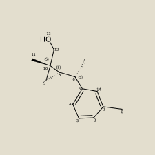 Cc1cccc([C@@H](C)[C@@H]2C[C@]2(C)CO)c1